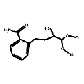 CCOC(OCC)C([SiH3])CCc1ccccc1C(N)=O